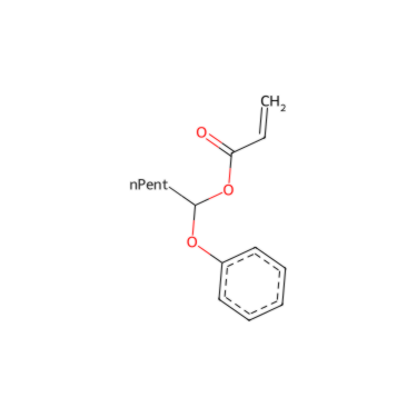 C=CC(=O)OC(CCCCC)Oc1ccccc1